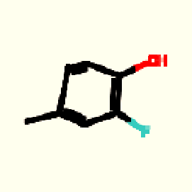 Cc1[c]cc(O)c(F)c1